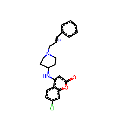 O=c1cc(NC2CCN(C/C=C/c3ccccc3)CC2)c2ccc(Cl)cc2o1